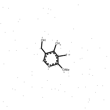 COc1ncc(CO)c(C)c1F